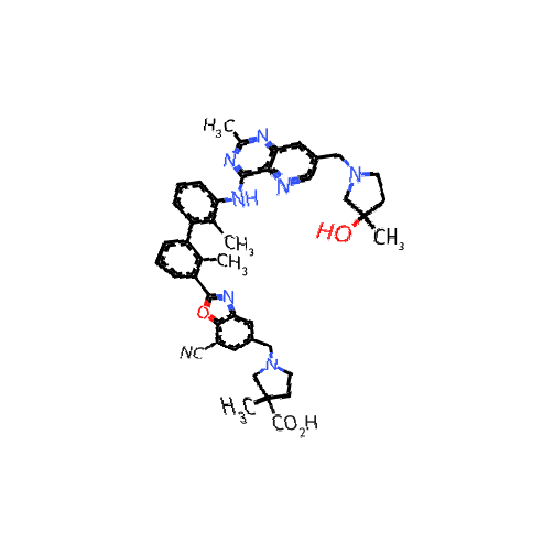 Cc1nc(Nc2cccc(-c3cccc(-c4nc5cc(CN6CCC(C)(C(=O)O)C6)cc(C#N)c5o4)c3C)c2C)c2ncc(CN3CCC(C)(O)C3)cc2n1